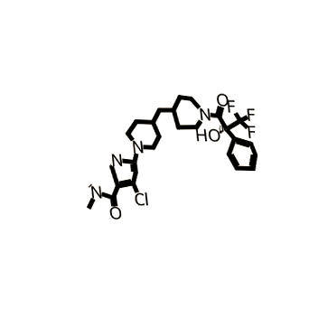 CN(C)C(=O)c1cnc(N2CCC(CC3CCN(C(=O)[C@](O)(c4ccccc4)C(F)(F)F)CC3)CC2)cc1Cl